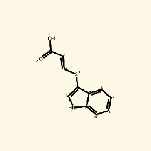 O=C(O)C=CSc1c[nH]c2ccccc12